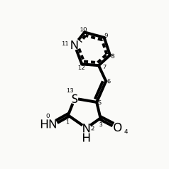 N=C1NC(=O)C(=Cc2cccnc2)S1